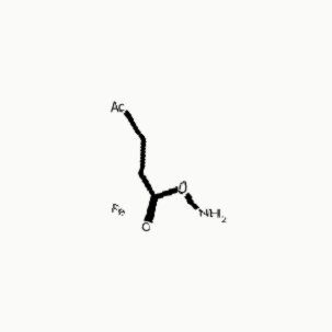 CC(=O)CCC(=O)ON.[Fe]